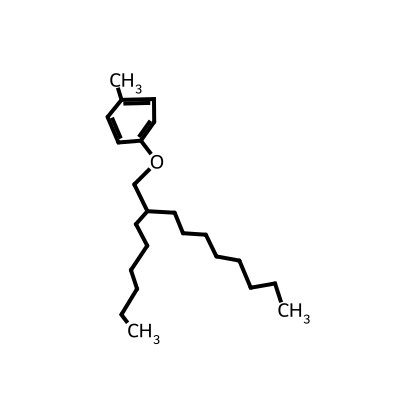 CCCCCCCCC(CCCCCC)COc1ccc(C)cc1